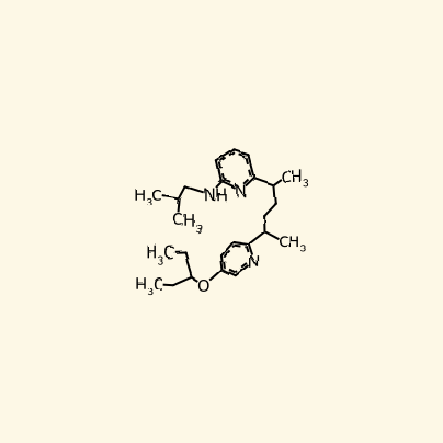 CCC(CC)Oc1ccc(C(C)CCC(C)c2cccc(NCC(C)C)n2)nc1